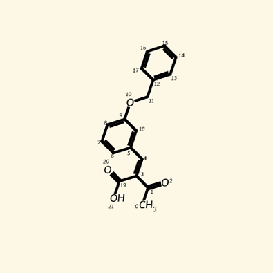 CC(=O)C(=Cc1cccc(OCc2ccccc2)c1)C(=O)O